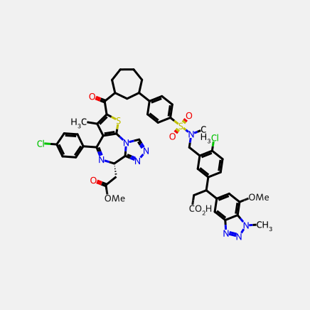 COC(=O)C[C@@H]1N=C(c2ccc(Cl)cc2)c2c(sc(C(=O)C3CCCCC(c4ccc(S(=O)(=O)N(C)Cc5cc(C(CC(=O)O)c6cc(OC)c7c(c6)nnn7C)ccc5Cl)cc4)C3)c2C)-n2cnnc21